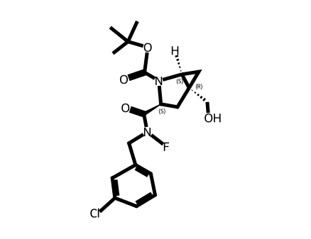 CC(C)(C)OC(=O)N1[C@H]2C[C@@]2(CO)C[C@H]1C(=O)N(F)Cc1cccc(Cl)c1